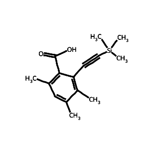 Cc1cc(C)c(C(=O)O)c(C#C[Si](C)(C)C)c1C